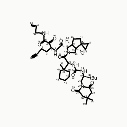 C#CCCC(NC(=O)[C@@H]1[C@H]2CCC3(CC3)[C@H]2CN1C(=O)[C@@H](NC(=O)N[C@H](CN1C(=O)CC(C)(C)CC1=O)C(C)(C)C)C1(C)CCCCC1)C(=O)C(=O)NCC=C